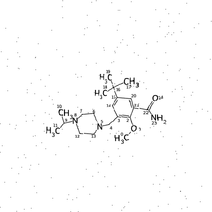 COc1c(CN2CCN(C(C)C)CC2)cc(C(C)(C)C)cc1C(N)=O